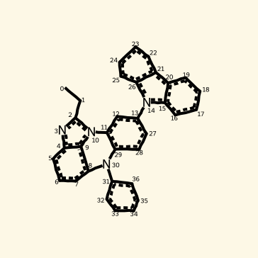 CCc1nc2cccc3c2n1-c1cc(-n2c4ccccc4c4ccccc42)ccc1N3c1ccccc1